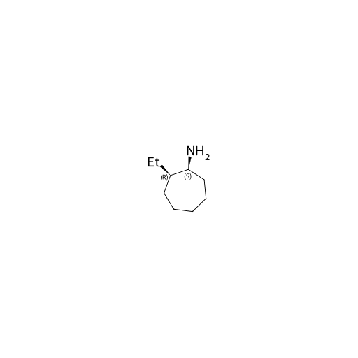 CC[C@@H]1CCCCC[C@@H]1N